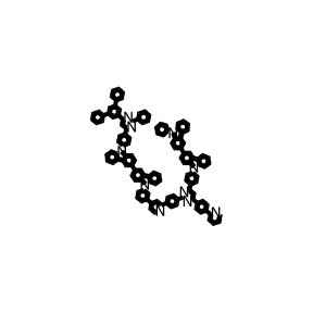 c1ccc(-c2cc(-c3ccccc3)cc(-c3cc(-c4ccc(-n5c6ccccc6c6cc(-c7ccc8c(c7)c7ccccc7n8-c7cccc(-c8ccnc(-c9ccc(-c%10nc(-c%11ccc(-c%12ccccn%12)cc%11)cc(-c%11ccc(-n%12c%13ccccc%13c%13cc(-c%14ccc%15c(c%14)c%14ccccc%14n%15-c%14ccccc%14)ccc%13%12)cc%11)n%10)cc9)c8)c7)ccc65)cc4)nc(-c4ccccc4)n3)c2)cc1